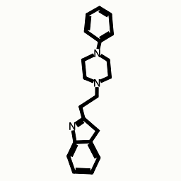 c1ccc(N2CCN(CCC3=Nc4ccccc4C3)CC2)cc1